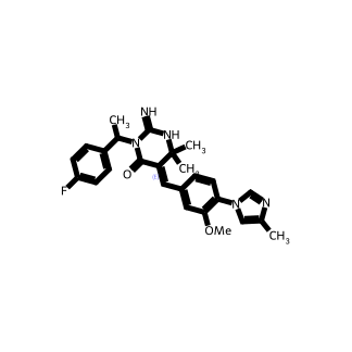 COc1cc(/C=C2/C(=O)N(C(C)c3ccc(F)cc3)C(=N)NC2(C)C)ccc1-n1cnc(C)c1